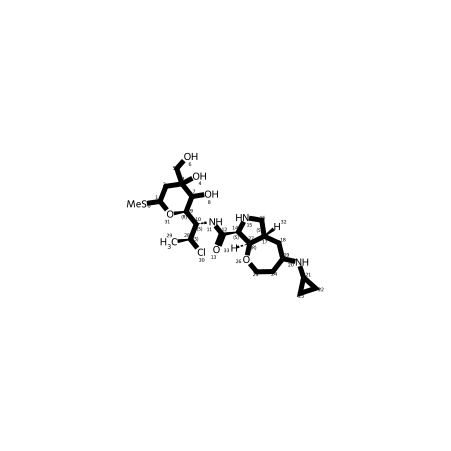 CSC1CC(O)(CO)C(O)[C@@H]([C@H](NC(=O)[C@H]2NC[C@@H]3CC(NC4CC4)CCO[C@H]32)[C@H](C)Cl)O1